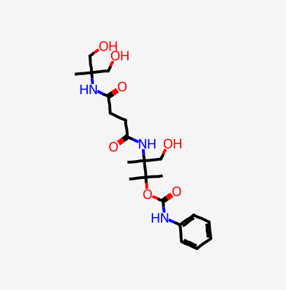 CC(CO)(CO)NC(=O)CCC(=O)NC(C)(CO)C(C)(C)OC(=O)Nc1ccccc1